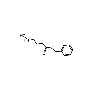 O=C(CCCNO)OCc1ccccc1